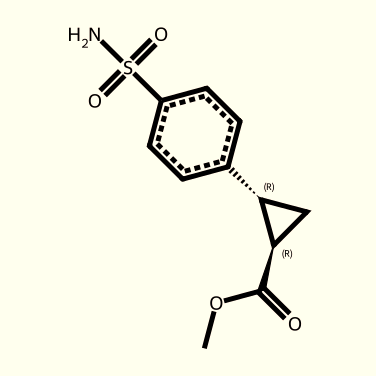 COC(=O)[C@@H]1C[C@H]1c1ccc(S(N)(=O)=O)cc1